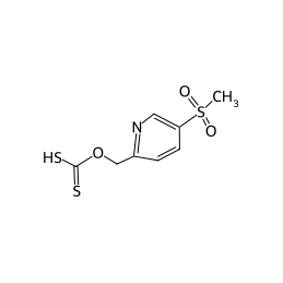 CS(=O)(=O)c1ccc(COC(=S)S)nc1